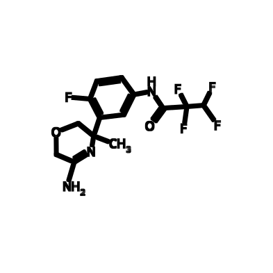 CC1(c2cc(NC(=O)C(F)(F)C(F)F)ccc2F)COCC(N)=N1